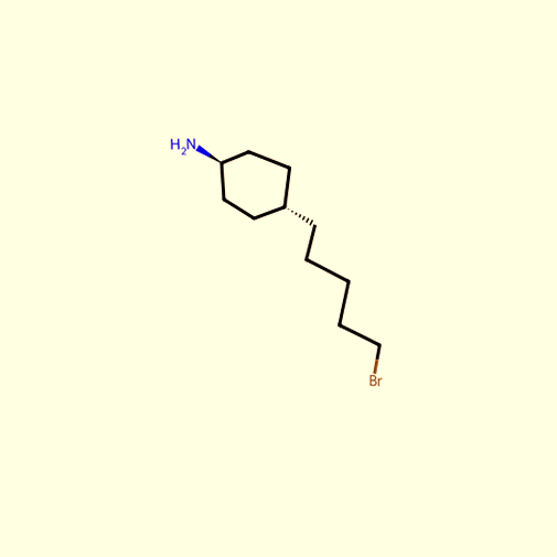 N[C@H]1CC[C@H](CCCCCBr)CC1